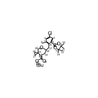 Cc1cc(Cl)cc(B2OC(C)(C)C(C)(C)O2)c1CC1CN(C(=O)OC(C)(C)C)C2(CC2)CO1